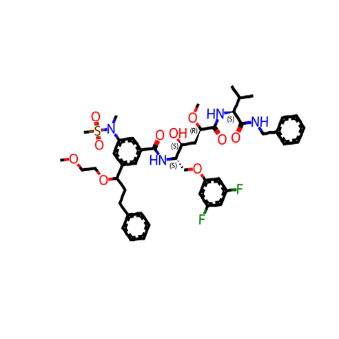 COCCOC(CCc1ccccc1)c1cc(C(=O)N[C@@H](COc2cc(F)cc(F)c2)[C@@H](O)C[C@@H](OC)C(=O)N[C@H](C(=O)NCc2ccccc2)C(C)C)cc(N(C)S(C)(=O)=O)c1